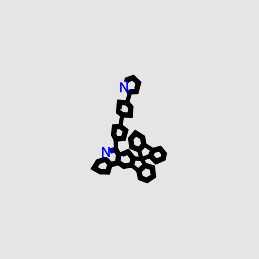 c1ccc(-c2ccc(-c3ccc(-c4nc5ccccc5c5cc6c(cc45)C4(c5ccccc5-c5ccccc54)c4ccccc4-6)cc3)cc2)nc1